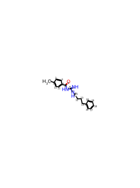 Cc1ccc(C(=O)NC(=N)NCCCCc2ccccc2)cc1